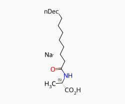 CCCCCCCCCCCCCCCCCC(=O)N[C@@H](C)C(=O)O.[Na]